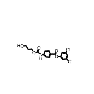 O=C(Nc1ccc(C(=O)Oc2cc(Cl)cc(Cl)c2)cc1)OCCCO